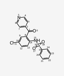 O=C(c1ccncc1)c1cc(Cl)ccc1NS(=O)(=O)c1ccccc1